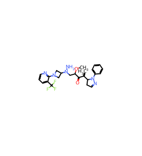 C=C(C(=O)C(CN(N)C1CN(c2ncccc2C(F)(F)F)C1)OC)C1CC=NN1c1ccccc1